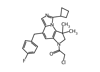 CC1(C)CN(C(=O)CCl)c2cc(Cc3ccc(F)cc3)c3cnc(C4CCC4)n3c21